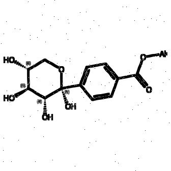 O=C([O][Al])c1ccc([C@]2(O)OC[C@@H](O)[C@H](O)[C@H]2O)cc1